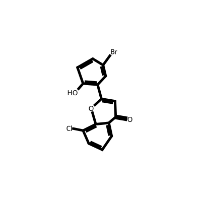 O=c1cc(-c2cc(Br)ccc2O)oc2c(Cl)cccc12